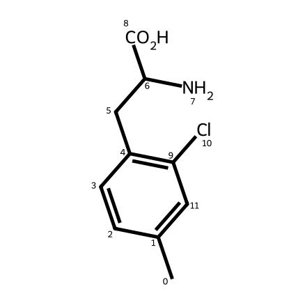 Cc1ccc(CC(N)C(=O)O)c(Cl)c1